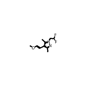 COC=Cc1c(C)nn(CC(F)F)c1C